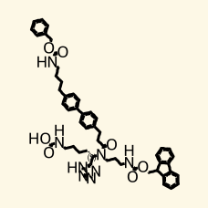 O=C(O)NCCCC[C@@H](c1nnn[nH]1)N(CCCNC(=O)OCC1c2ccccc2-c2ccccc21)C(=O)CCc1ccc(-c2ccc(CCCCNC(=O)OCc3ccccc3)cc2)cc1